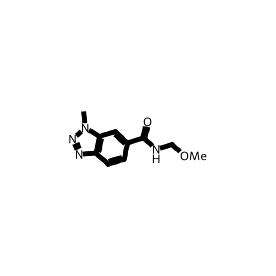 COCNC(=O)c1ccc2nnn(C)c2c1